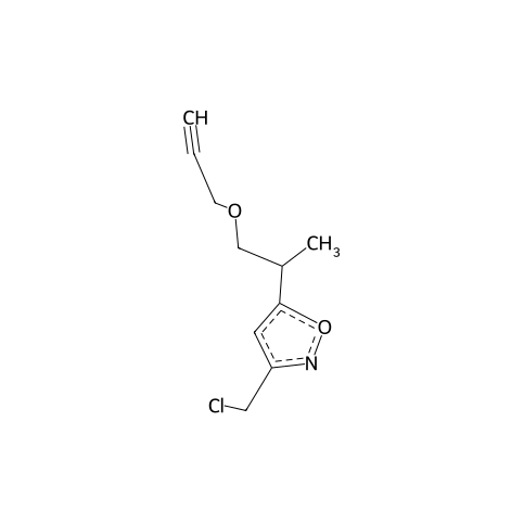 C#CCOCC(C)c1cc(CCl)no1